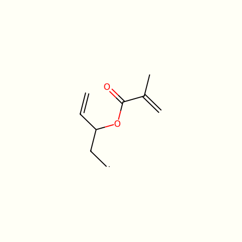 [CH2]CC(C=C)OC(=O)C(=C)C